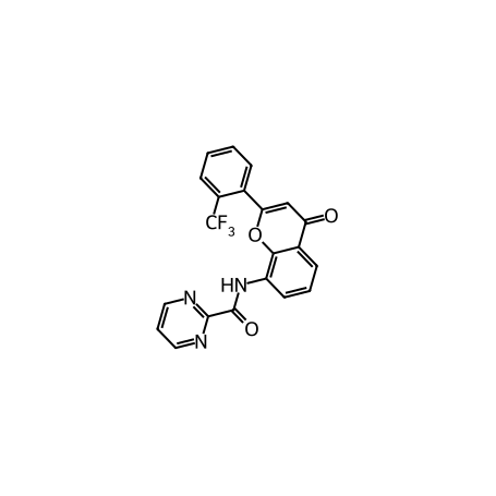 O=C(Nc1cccc2c(=O)cc(-c3ccccc3C(F)(F)F)oc12)c1ncccn1